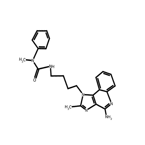 Cc1nc2c(N)nc3ccccc3c2n1CCCCNC(=O)N(C)c1ccccc1